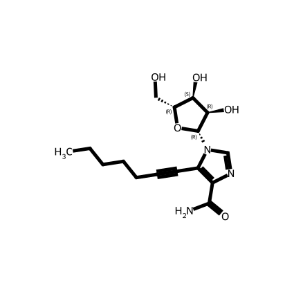 CCCCCC#Cc1c(C(N)=O)ncn1[C@@H]1O[C@H](CO)[C@@H](O)[C@H]1O